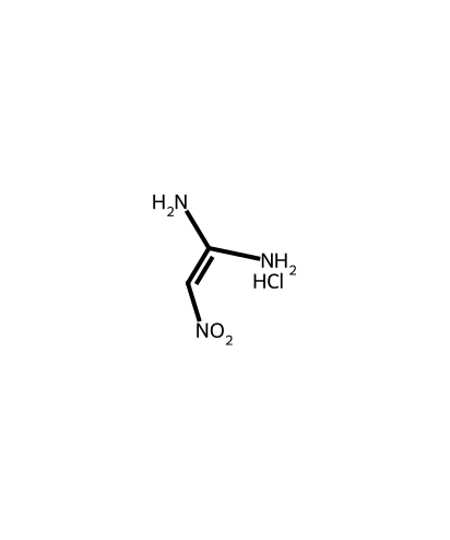 Cl.NC(N)=C[N+](=O)[O-]